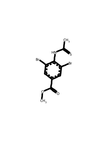 COC(=O)c1cc(Br)c(NC(C)=S)c(Br)c1